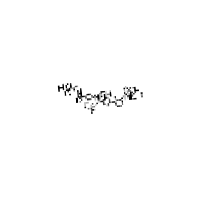 Cc1cc(-c2cccc(CNS(C)(=O)=O)c2)ccc1C(CCC(F)(F)F)Nc1ccc(C(=O)N2CCC[C@@H](C(=O)O)C2)cc1